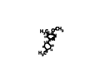 COc1nnc(C2CCC(C)CC2)cc1C